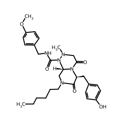 CCCCCCN1C[C@H]2N(C(=O)CN(C)N2C(=O)NCc2ccc(OC)cc2)[C@@H](Cc2ccc(O)cc2)C1=O